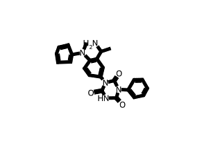 CC(N)c1cc(-n2c(=O)[nH]c(=O)n(-c3ccccc3)c2=O)ccc1N(C)c1ccccc1